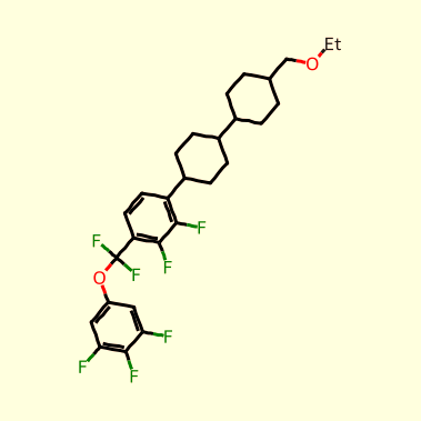 CCOCC1CCC(C2CCC(c3ccc(C(F)(F)Oc4cc(F)c(F)c(F)c4)c(F)c3F)CC2)CC1